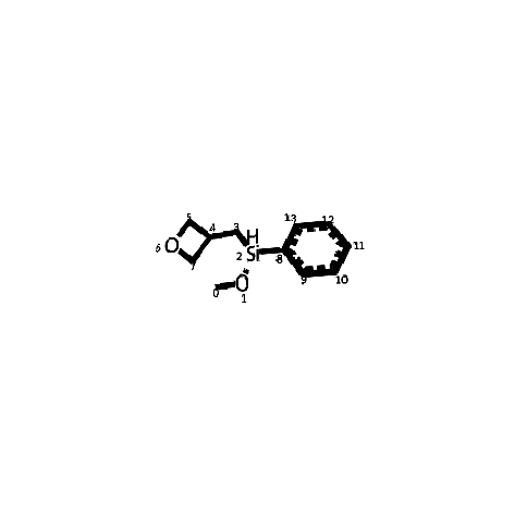 CO[SiH](CC1COC1)c1ccccc1